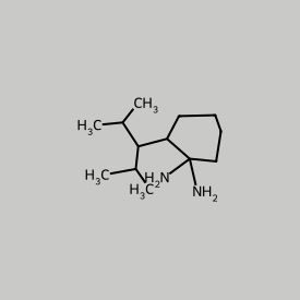 CC(C)C(C(C)C)C1CCCCC1(N)N